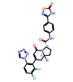 O=C(Nc1ccc(-c2noc(=O)[nH]2)cc1)[C@@H]1CC[C@@H]2CC(c3c(-n4cnnn4)ccc(Cl)c3F)=CC(=O)N21